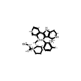 Cc1c(F)cccc1Nc1c(-c2ccncc2OC[C@@H]2CCCCN2C(=O)OC(C)(C)C)[nH]c2c1C(=O)NCC2